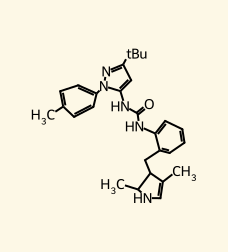 CC1=CNC(C)C1Cc1ccccc1NC(=O)Nc1cc(C(C)(C)C)nn1-c1ccc(C)cc1